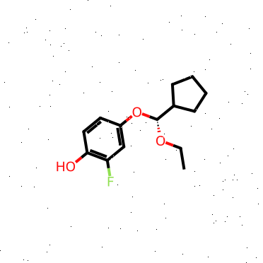 CCO[C@H](Oc1ccc(O)c(F)c1)C1CCCC1